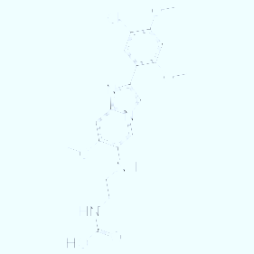 COc1cc(OC)c(-c2cn3cc(NCCNC(=O)O)c(OC)cc3n2)cc1Cl